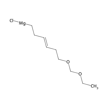 CCOCOCC/C=C/C[CH2][Mg][Cl]